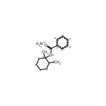 CC1CCCCC1(C)OC(=O)c1ccccc1.N